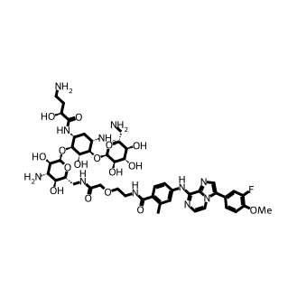 COc1ccc(-c2cnc3c(Nc4ccc(C(=O)NCCOCC(=O)NC[C@H]5O[C@H](O[C@@H]6[C@@H](O)[C@H](O[C@H]7O[C@H](CN)[C@@H](O)[C@H](O)[C@H]7O)[C@@H](N)C[C@H]6NC(=O)[C@@H](O)CCN)[C@H](O)[C@@H](N)[C@@H]5O)c(C)c4)nccn23)cc1F